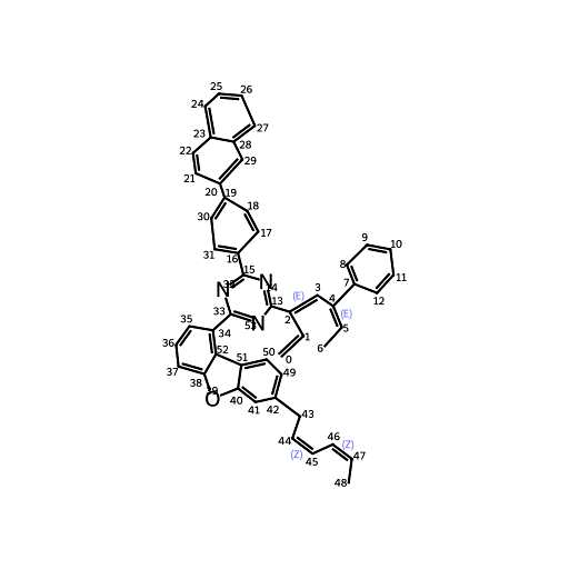 C=C/C(=C\C(=C/C)c1ccccc1)c1nc(-c2ccc(-c3ccc4ccccc4c3)cc2)nc(-c2cccc3oc4cc(C/C=C\C=C/C)ccc4c23)n1